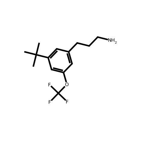 CC(C)(C)c1cc(CCCN)cc(OC(F)(F)F)c1